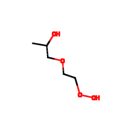 CC(O)COCCOO